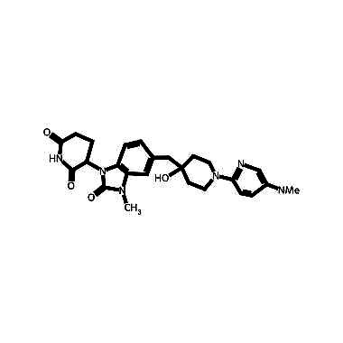 CNc1ccc(N2CCC(O)(Cc3ccc4c(c3)n(C)c(=O)n4C3CCC(=O)NC3=O)CC2)nc1